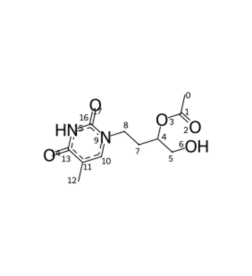 CC(=O)OC(CO)CCn1cc(C)c(=O)[nH]c1=O